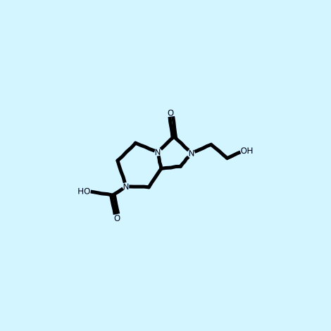 O=C(O)N1CCN2C(=O)N(CCO)CC2C1